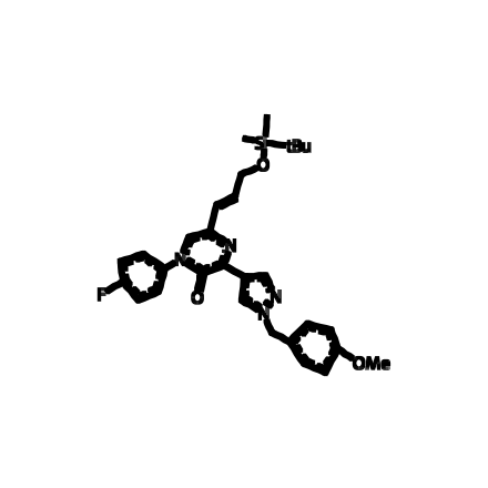 COc1ccc(Cn2cc(-c3nc(C=CCO[Si](C)(C)C(C)(C)C)cn(-c4ccc(F)cc4)c3=O)cn2)cc1